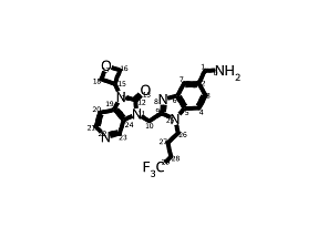 NCc1ccc2c(c1)nc(Cn1c(=O)n(C3COC3)c3ccncc31)n2CCCC(F)(F)F